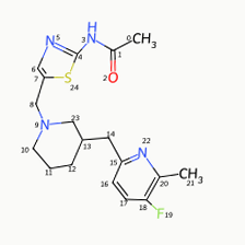 CC(=O)Nc1ncc(CN2CCCC(Cc3ccc(F)c(C)n3)C2)s1